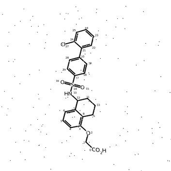 O=C(O)COc1cccc2c1CCCC2NS(=O)(=O)c1ccc(-c2ccccc2Cl)cc1